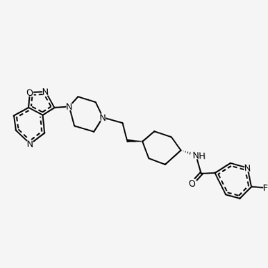 O=C(N[C@H]1CC[C@H](CCN2CCN(c3noc4ccncc34)CC2)CC1)c1ccc(F)nc1